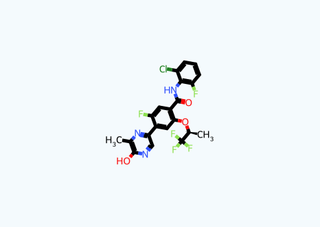 Cc1nc(-c2cc(O[C@@H](C)C(F)(F)F)c(C(=O)Nc3c(F)cccc3Cl)cc2F)cnc1O